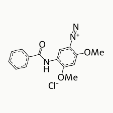 COc1cc(OC)c(NC(=O)c2ccccc2)cc1[N+]#N.[Cl-]